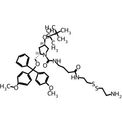 COc1ccc(C(OC[C@@H]2C[C@@H](O[Si](C)(C)C(C)(C)C)CN2C(=O)NCCCC(=O)NCCSSCCN)(c2ccccc2)c2ccc(OC)cc2)cc1